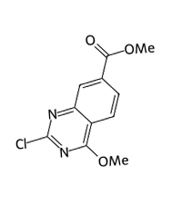 COC(=O)c1ccc2c(OC)nc(Cl)nc2c1